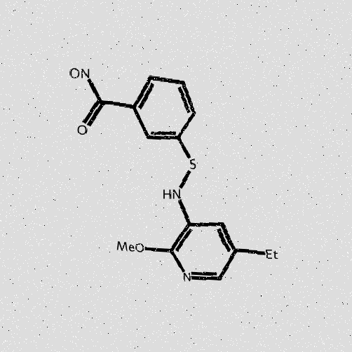 CCc1cnc(OC)c(NSc2cccc(C(=O)N=O)c2)c1